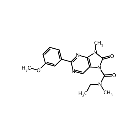 CCN(C)C(=O)n1c(=O)n(C)c2nc(-c3cccc(OC)c3)ncc21